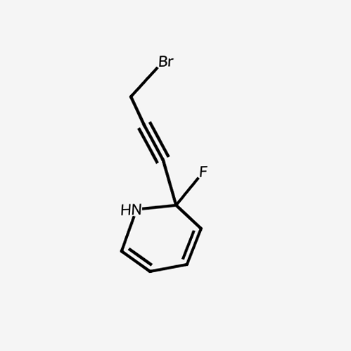 FC1(C#CCBr)C=CC=CN1